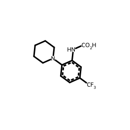 O=C(O)Nc1cc(C(F)(F)F)ccc1N1CCCCC1